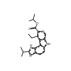 CCc1c(C(=O)OC(C)C)ncc2[nH]c3ccc4nc(C(C)C)[nH]c4c3c12